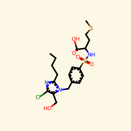 CCCCc1nc(Cl)c(CO)n1Cc1ccc(S(=O)(=O)NC(CCSC)C(=O)O)cc1